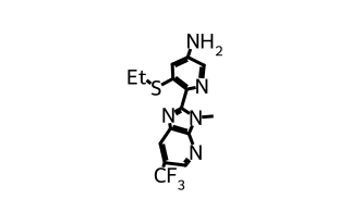 CCSc1cc(N)cnc1-c1nc2cc(C(F)(F)F)cnc2n1C